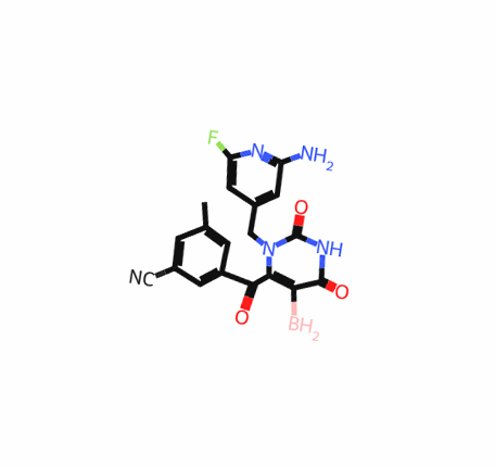 Bc1c(C(=O)c2cc(C)cc(C#N)c2)n(Cc2cc(N)nc(F)c2)c(=O)[nH]c1=O